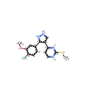 COc1cc(-c2n[nH]cc2-c2ccnc(SC)n2)ccc1Cl